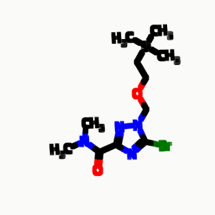 CN(C)C(=O)c1nc(Br)n(COCC[Si](C)(C)C)n1